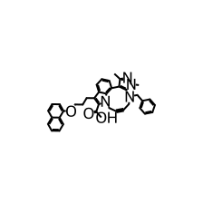 Cc1nn(C)c2c1-c1cccc3c(CCCOc4cccc5ccccc45)c(C(=O)O)n(c13)CC#CCN2Cc1ccccc1